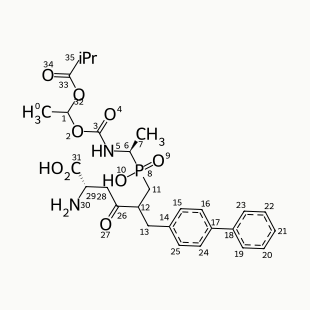 CC(OC(=O)N[C@@H](C)P(=O)(O)CC(Cc1ccc(-c2ccccc2)cc1)C(=O)C[C@H](N)C(=O)O)OC(=O)C(C)C